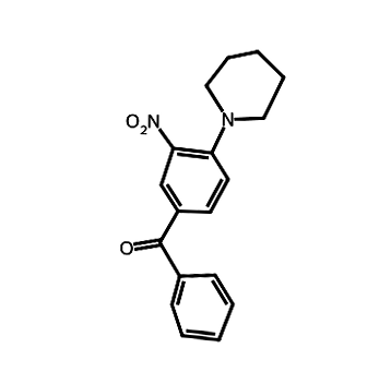 O=C(c1ccccc1)c1ccc(N2CCCCC2)c([N+](=O)[O-])c1